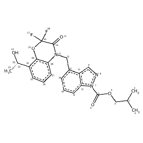 CC(C)COC(=O)n1ncc2c(CN3C(=O)C(F)(F)Oc4c([C@H](C)O)cccc43)cccc21